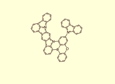 c1ccc2c(c1)Oc1cc(-n3c4ccccc4c4ccccc43)cc3c1B2c1cccc2c4cc5c6cccc7c8ccccc8n(c5cc4n-3c12)c76